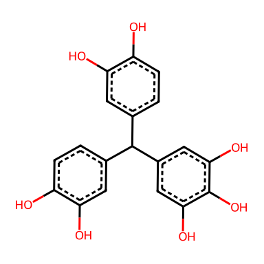 Oc1ccc(C(c2ccc(O)c(O)c2)c2cc(O)c(O)c(O)c2)cc1O